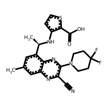 Cc1cc([C@@H](C)Nc2ccsc2C(=O)O)c2nc(N3CCC(F)(F)CC3)c(C#N)nc2c1